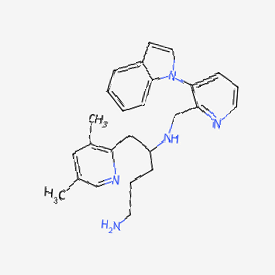 Cc1cnc(CC(CCCN)NCc2ncccc2-n2ccc3ccccc32)c(C)c1